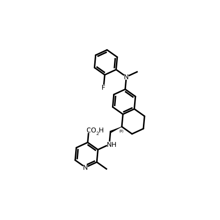 Cc1nccc(C(=O)O)c1NC[C@@H]1CCCc2cc(N(C)c3ccccc3F)ccc21